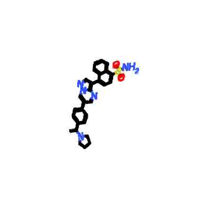 CC(c1ccc(-c2cnc3c(-c4ccc(S(N)(=O)=O)c5ccccc45)cnn3c2)cc1)N1CCCC1